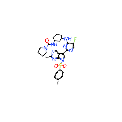 Cc1ccc(S(=O)(=O)n2cc(-c3ncc(F)c(N[C@@H]4CCC[C@H](NC(=O)N5CCCC5)C4)n3)c3cnc(C)nc32)cc1